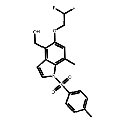 Cc1ccc(S(=O)(=O)n2ccc3c(CO)c(OCC(F)F)cc(C)c32)cc1